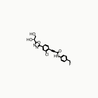 O=C(C#Cc1ccc(-c2nnc([C@@H](O)CO)o2)cc1Cl)Nc1ccc(CF)cc1